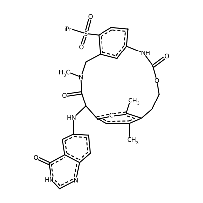 Cc1cc2cc(C)c1CCOC(=O)Nc1ccc(S(=O)(=O)C(C)C)c(c1)CN(C)C(=O)C2Nc1ccc2nc[nH]c(=O)c2c1